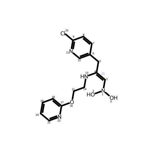 ON(O)/C=C(/Cc1ccc(Cl)nc1)NCCOc1ccccn1